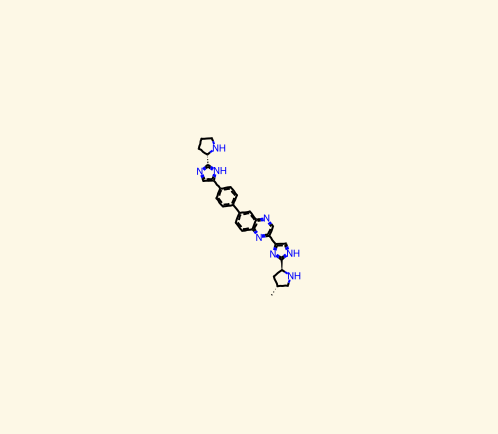 C[C@H]1CN[C@H](c2nc(-c3cnc4cc(-c5ccc(-c6cnc([C@@H]7CCCN7)[nH]6)cc5)ccc4n3)c[nH]2)C1